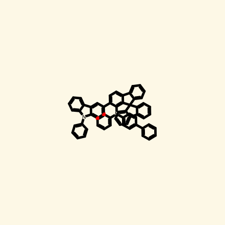 c1ccc(-c2ccc(N(c3ccccc3)c3c(-c4ccc5c(c4)c4ccccc4n5-c4ccccc4)ccc4c3C3(c5ccccc5-c5ccccc53)c3ccccc3-4)cc2)cc1